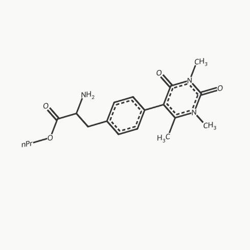 CCCOC(=O)C(N)Cc1ccc(-c2c(C)n(C)c(=O)n(C)c2=O)cc1